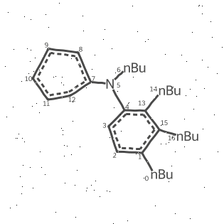 CCCCc1ccc(N(CCCC)c2ccccc2)c(CCCC)c1CCCC